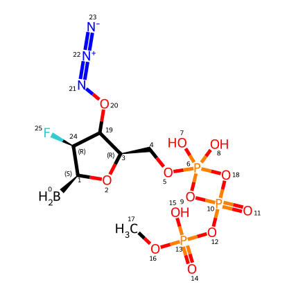 B[C@@H]1O[C@H](COP2(O)(O)OP(=O)(OP(=O)(O)OC)O2)C(ON=[N+]=[N-])[C@@H]1F